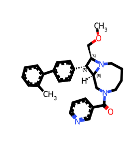 COC[C@@H]1[C@@H](c2ccc(-c3ccccc3C)cc2)[C@@H]2CN(C(=O)c3cccnc3)CCCCN12